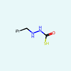 CC(C)CNNC(=O)S